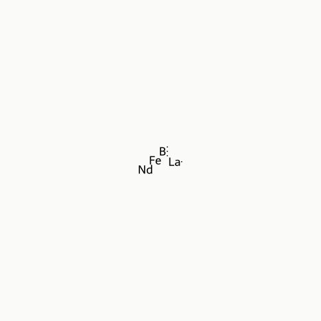 [B].[Fe].[La].[Nd]